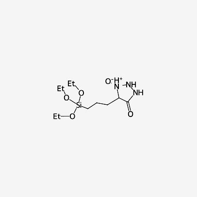 CCO[Si](CCCC1C(=O)NN[NH+]1[O-])(OCC)OCC